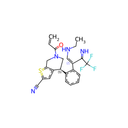 C=CC(=O)N1Cc2sc(C#N)cc2[C@H](c2ccccc2/C(=C/NCC)C(=N)C(F)(F)F)C1